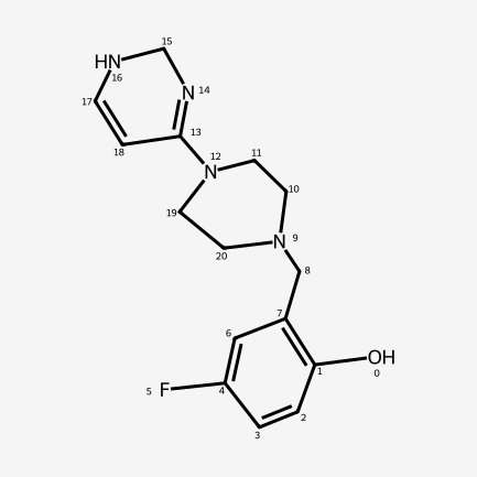 Oc1ccc(F)cc1CN1CCN(C2=NCNC=C2)CC1